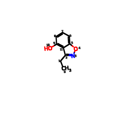 CCc1noc2cccc(O)c12